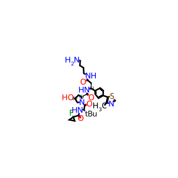 Cc1ncsc1-c1ccc([C@H](CC(=O)NCCCCN)NC(=O)[C@@H]2C[C@@H](O)CN2C(=O)C(NC(=O)C2(F)CC2)C(C)(C)C)cc1